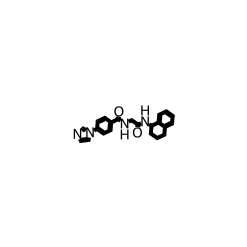 O=C(CNC(=O)c1ccc(-n2ccnc2)cc1)NC1CCCc2ccccc21